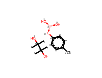 CC(C)(O)C(C)(C)O.N#Cc1ccc(OB(O)O)cc1